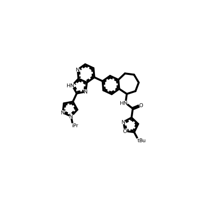 CC(C)n1cc(-c2nc3c(-c4ccc5c(c4)CCCCC5NC(=O)c4cc(C(C)(C)C)on4)ccnc3[nH]2)cn1